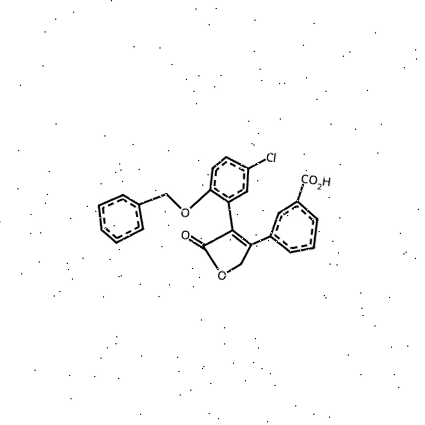 O=C1OCC(c2cccc(C(=O)O)c2)=C1c1cc(Cl)ccc1OCc1ccccc1